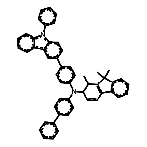 CC1C2=C(C=CC1N(c1ccc(-c3ccccc3)cc1)c1ccc(-c3ccc4c(c3)c3ccccc3n4-c3ccccc3)cc1)c1ccccc1C2(C)C